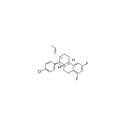 C/C=C/[C@@H]1CC[C@H]2c3cc(F)cc(F)c3CC[C@@H]2[C@H]1c1ccc(Cl)cc1